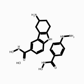 Cl.NC1CCc2[nH]c3ccc(C(=O)NO)cc3c2C1.NNc1ccc(C(=O)NO)cc1